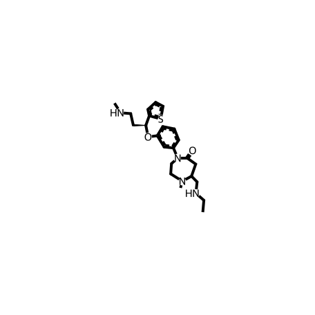 CCNCC1CC(=O)N(c2cccc(O[C@@H](CCNC)c3cccs3)c2)CCN1C